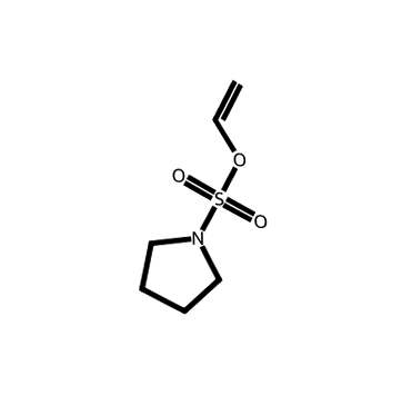 C=COS(=O)(=O)N1CCCC1